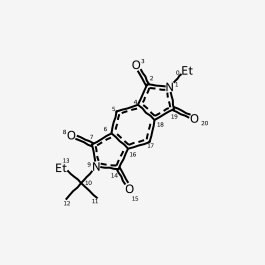 CCn1c(=O)c2cc3c(=O)n(C(C)(C)CC)c(=O)c3cc2c1=O